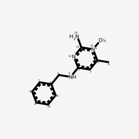 Cc1cc(NCc2ccccc2)nc(N)[n+]1[O-]